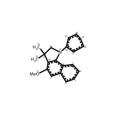 COc1cc2ccccc2c2c1C(C)(C)CN2c1ccccc1